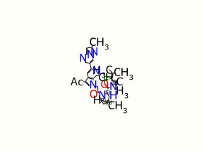 CC(=O)c1cn(CC(=O)N2[C@H](C(=O)N[C@H](C)C(F)=C(C)C)C[C@@]3(C)C[C@@H]23)c2c(C)nc(-c3cnc4cc(C)nn4c3)cc12